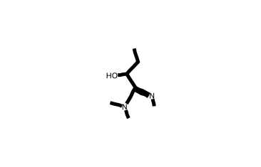 CCC(O)C(=NC)N(C)C